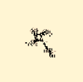 CC(C)(C)OC(=O)CN1CCN(CC(=O)NCCCCCC(=O)N[C@@H](CC(=O)O)C(=O)O)CCN(CC(=O)OC(C)(C)C)CCN(CC(=O)OC(C)(C)C)CC1